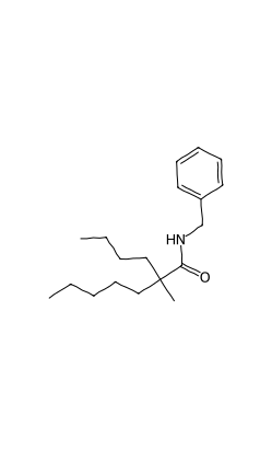 CCCCCC(C)(CCCC)C(=O)NCc1ccccc1